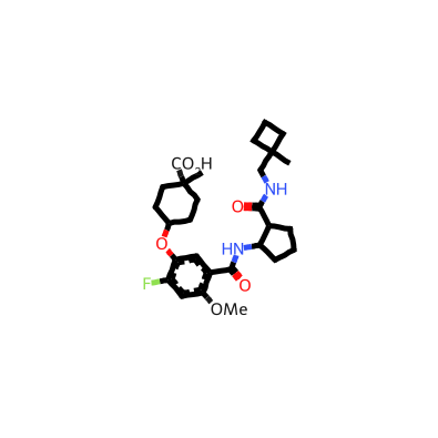 COc1cc(F)c(OC2CCC(C)(C(=O)O)CC2)cc1C(=O)NC1CCCC1C(=O)NCC1(C)CCC1